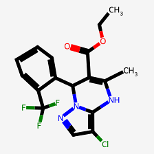 CCOC(=O)C1=C(C)Nc2c(Cl)cnn2C1c1ccccc1C(F)(F)F